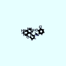 O=Cc1c(Cl)cccc1/N=C/[C@@H]1CCCN1c1ncnc2[nH]cnc(=O)c12